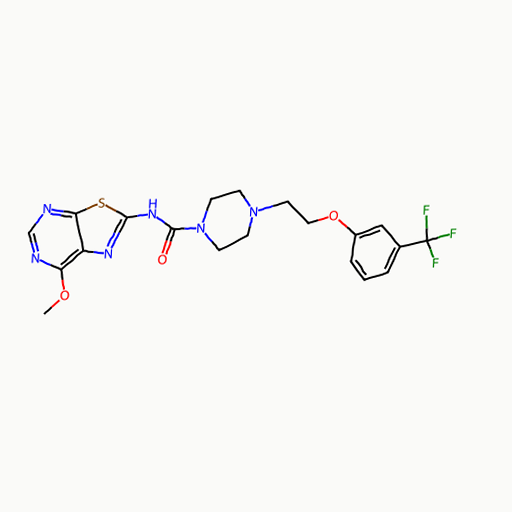 COc1ncnc2sc(NC(=O)N3CCN(CCOc4cccc(C(F)(F)F)c4)CC3)nc12